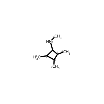 CNC1C(C)C(C)C1C